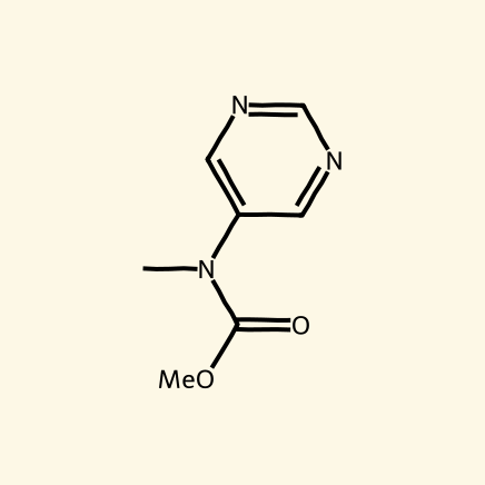 COC(=O)N(C)c1cncnc1